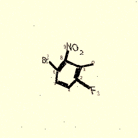 Cc1c(F)ccc(Br)c1[N+](=O)[O-]